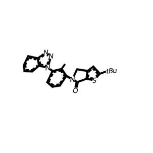 Cc1c(N2Cc3cc(C(C)(C)C)sc3C2=O)cccc1-n1nnc2ccccc21